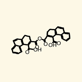 O=C(O)C1=C(C(=O)OC(=O)C2=C(C(=O)O)c3c(ccc4ccccc34)CC2)CCc2ccc3ccccc3c21